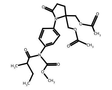 CCC(C)C(=O)N(C(=O)OC)c1ccc(N2C(=O)CCC2(COC(C)=O)COC(C)=O)cc1